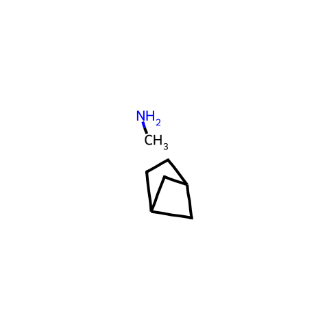 C1CC2CC1C2.CN